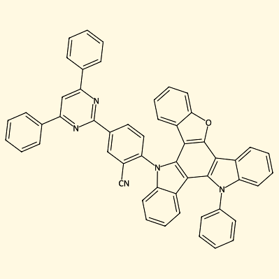 N#Cc1cc(-c2nc(-c3ccccc3)cc(-c3ccccc3)n2)ccc1-n1c2ccccc2c2c3c(c4ccccc4n3-c3ccccc3)c3oc4ccccc4c3c21